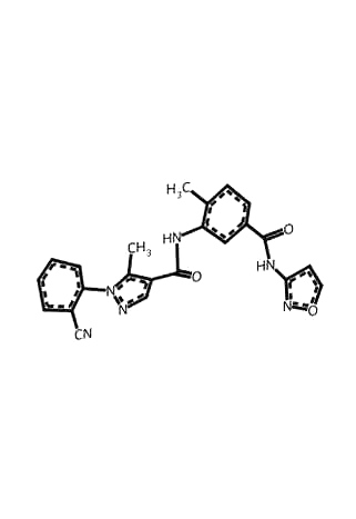 Cc1ccc(C(=O)Nc2ccon2)cc1NC(=O)c1cnn(-c2ccccc2C#N)c1C